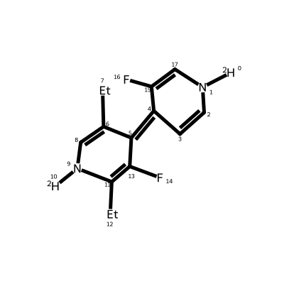 [2H]N1C=CC(=C2C(CC)=CN([2H])C(CC)=C2F)C(F)=C1